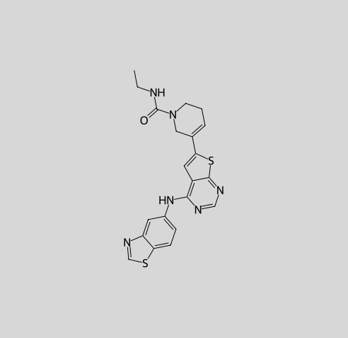 CCNC(=O)N1CCC=C(c2cc3c(Nc4ccc5scnc5c4)ncnc3s2)C1